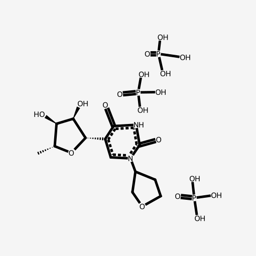 C[C@H]1O[C@@H](c2cn(C3CCOC3)c(=O)[nH]c2=O)[C@H](O)[C@@H]1O.O=P(O)(O)O.O=P(O)(O)O.O=P(O)(O)O